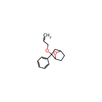 C=CCOC1(c2ccccc2)CC2CCC1O2